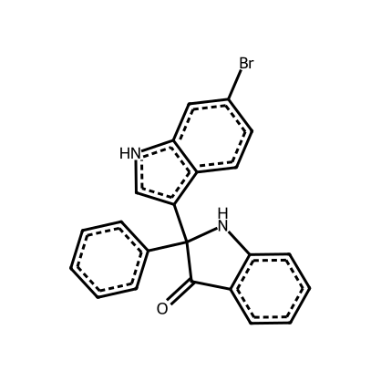 O=C1c2ccccc2NC1(c1ccccc1)c1c[nH]c2cc(Br)ccc12